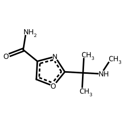 CNC(C)(C)c1nc(C(N)=O)co1